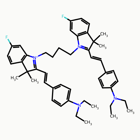 CCN(CC)c1ccc(/C=C/C2=[N+](CCCC[N+]3=C(/C=C/c4ccc(N(CC)CC)cc4)C(C)(C)c4ccc(F)cc43)c3cc(F)ccc3C2(C)C)cc1